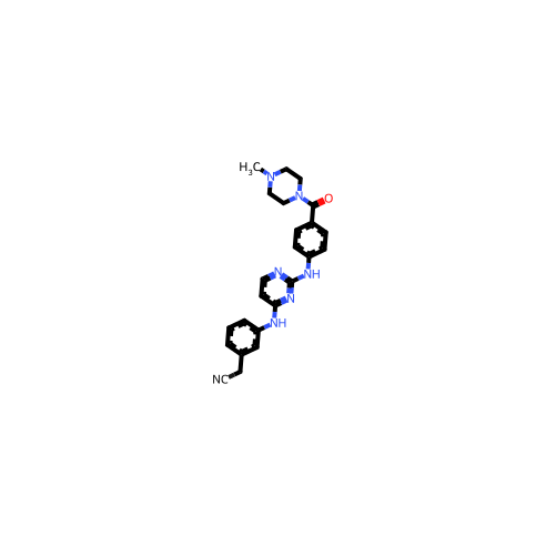 CN1CCN(C(=O)c2ccc(Nc3nccc(Nc4cccc(CC#N)c4)n3)cc2)CC1